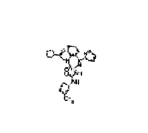 Cc1cccc(NC(=O)N[C@@H]2N=C(c3ccccn3)c3ccccc3N(CC(=O)C3CCCC3)C2=O)c1